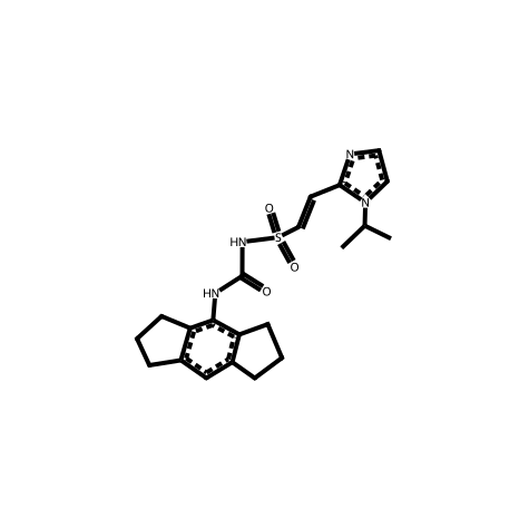 CC(C)n1ccnc1/C=C/S(=O)(=O)NC(=O)Nc1c2c(cc3c1CCC3)CCC2